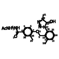 CC(=O)NNC(=O)c1ccc(OCc2c(C)cccc2N2N=NN(C)C2O)c(C)c1